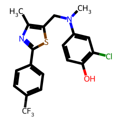 Cc1nc(-c2ccc(C(F)(F)F)cc2)sc1CN(C)c1ccc(O)c(Cl)c1